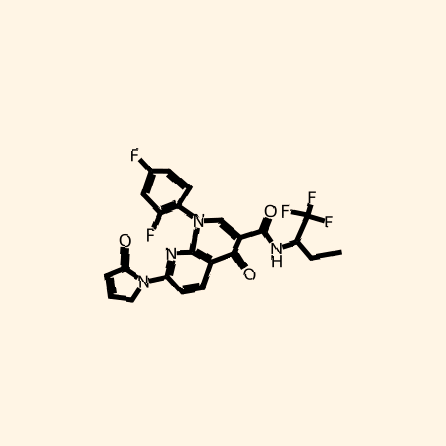 CCC(NC(=O)c1cn(-c2ccc(F)cc2F)c2nc(N3CC=CC3=O)ccc2c1=O)C(F)(F)F